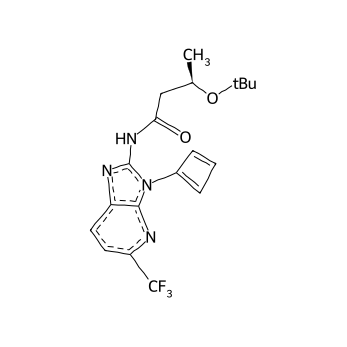 C[C@H](CC(=O)Nc1nc2ccc(C(F)(F)F)nc2n1C1=CC=C1)OC(C)(C)C